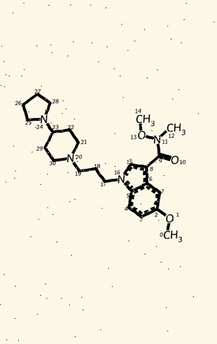 COc1ccc2c(c1)c(C(=O)N(C)OC)cn2CCCN1CCC(N2CCCC2)CC1